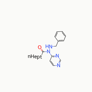 CCCCCCCC(=O)N(NCc1ccccc1)c1ccncn1